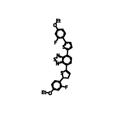 CCOc1ccc(-c2ccc(-c3ccc(C4=CCC(c5ccc(OCC)cc5F)S4)c4nsnc34)s2)c(F)c1